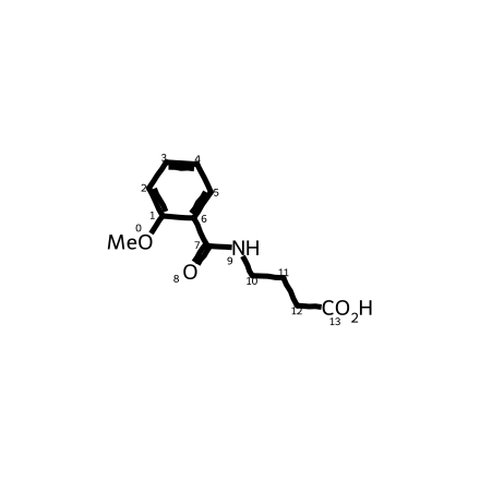 COc1ccccc1C(=O)NCCCC(=O)O